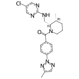 Cc1cnn(-c2ccc(C(=O)N3CCC[C@@H](C)[C@H]3CNc3ncc(Cl)cn3)cc2)n1